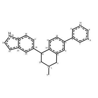 CN1Cc2cc(-c3cncnc3)ccc2C(c2ccc3[nH]ccc3c2)C1